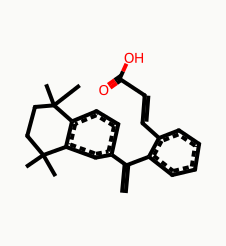 C=C(c1ccc2c(c1)C(C)(C)CCC2(C)C)c1ccccc1C=CC(=O)O